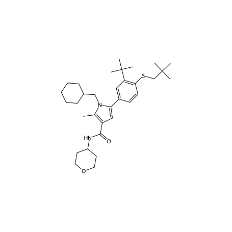 Cc1c(C(=O)NC2CCOCC2)cc(-c2ccc(SCC(C)(C)C)c(C(C)(C)C)c2)n1CC1CCCCC1